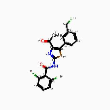 COC(=O)c1nc(NC(=O)c2c(F)cccc2F)sc1-c1cccc(CF)c1